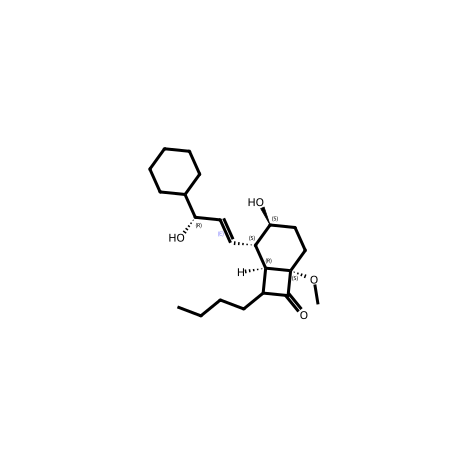 CCCCC1C(=O)[C@]2(OC)CC[C@H](O)[C@@H](/C=C/[C@H](O)C3CCCCC3)[C@H]12